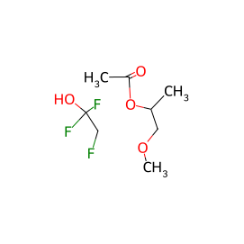 COCC(C)OC(C)=O.OC(F)(F)CF